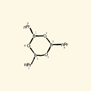 CCCB1OB(CCC)OB(CCC)O1